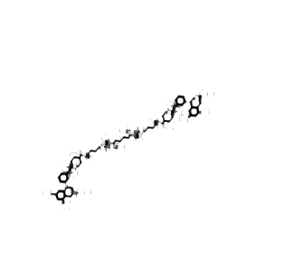 CN1Cc2c(Cl)cc(Cl)cc2[C@H](c2cccc(S(=O)(=O)N3CCC(NC(=O)CCCNC(=O)NCCCCNC(=O)NCCCC(=O)NC4CCN(S(=O)(=O)c5cccc([C@@H]6CN(C)Cc7c(Cl)cc(Cl)cc76)c5)CC4)CC3)c2)C1